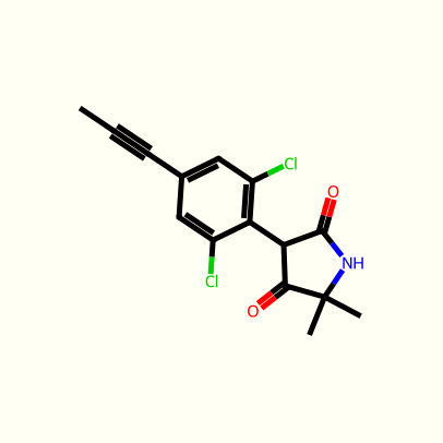 CC#Cc1cc(Cl)c(C2C(=O)NC(C)(C)C2=O)c(Cl)c1